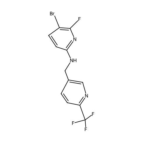 Fc1nc(NCc2ccc(C(F)(F)F)nc2)ccc1Br